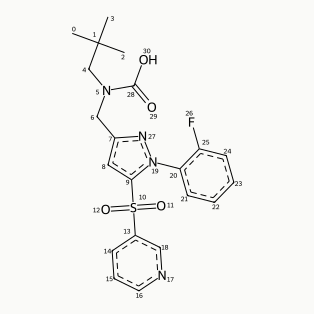 CC(C)(C)CN(Cc1cc(S(=O)(=O)c2cccnc2)n(-c2ccccc2F)n1)C(=O)O